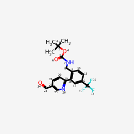 CC(C)(C)OC(=O)NCc1ccc(C(F)(F)F)cc1-c1ccc(C=O)cn1